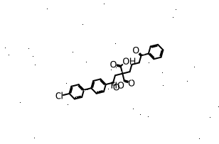 O=C(CCCC(CC(=O)c1ccc(-c2ccc(Cl)cc2)cc1)(C(=O)O)C(=O)O)c1ccccc1